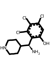 N[C@H](c1c(O)cc(Cl)c(Cl)c1Cl)C1CCNCC1